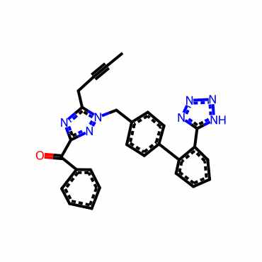 CC#CCc1nc(C(=O)c2ccccc2)nn1Cc1ccc(-c2ccccc2-c2nnn[nH]2)cc1